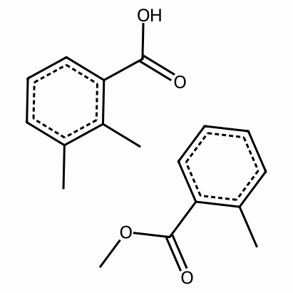 COC(=O)c1ccccc1C.Cc1cccc(C(=O)O)c1C